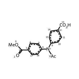 COC(=O)c1ccc(N(C(C)=O)c2ccc(C(=O)O)cc2)cc1